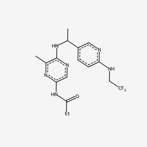 CCC(=O)Nc1cnc(NC(C)c2ccc(NCC(F)(F)F)nc2)c(C)n1